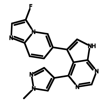 Cn1cc(-c2ncnc3[nH]cc(-c4ccc5ncc(F)n5c4)c23)cn1